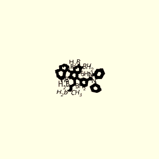 B=c1c(-c2cccc3ccccc23)c2c(B)c(B)c(B)c(B)c2c(-c2cccc(-c3nc4ccccc4n3-c3ccccc3)c2)/c1=C(B)/C(B)=C(/B)C